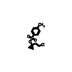 Cc1ccc(S(=O)(=O)OC2(CCCl)CC2)cc1